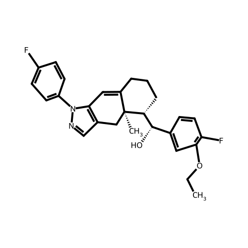 CCOc1cc([C@H](O)[C@H]2CCCC3=Cc4c(cnn4-c4ccc(F)cc4)C[C@@]32C)ccc1F